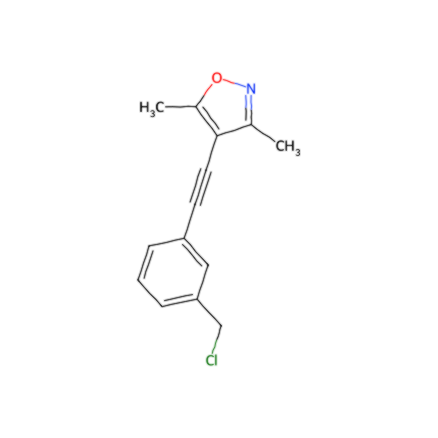 Cc1noc(C)c1C#Cc1cccc(CCl)c1